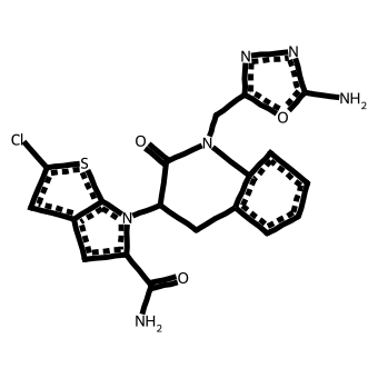 NC(=O)c1cc2cc(Cl)sc2n1C1Cc2ccccc2N(Cc2nnc(N)o2)C1=O